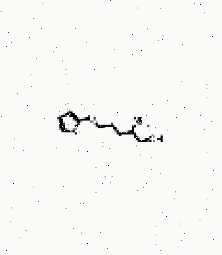 NC(CO)CCCOc1cccs1